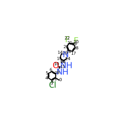 Cc1c(Cl)cccc1NC(=O)N[C@@H]1CCN(c2ccc(F)c(F)c2)C1